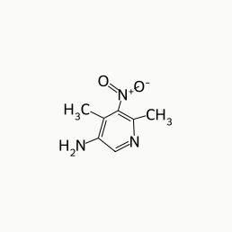 Cc1ncc(N)c(C)c1[N+](=O)[O-]